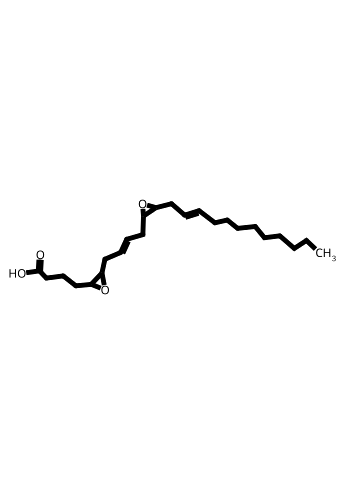 CCCCCCCCCC=CCC1OC1CC=CCC1OC1CCCC(=O)O